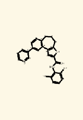 O=C(Nc1c(F)cccc1F)c1cc2c(s1)CCCc1ccc(-c3cccnc3)cc1-2